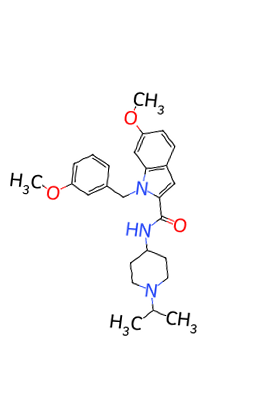 COc1cccc(Cn2c(C(=O)NC3CCN(C(C)C)CC3)cc3ccc(OC)cc32)c1